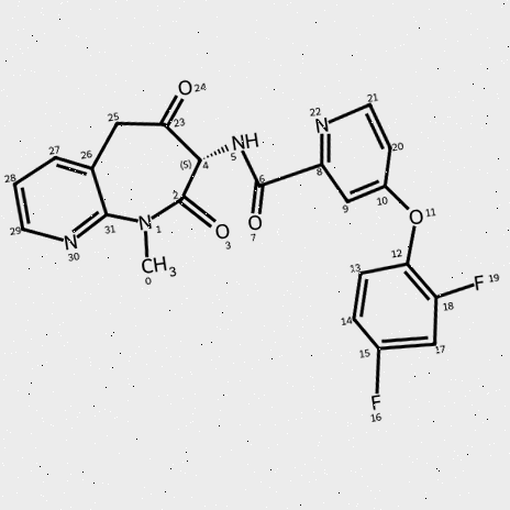 CN1C(=O)[C@@H](NC(=O)c2cc(Oc3ccc(F)cc3F)ccn2)C(=O)Cc2cccnc21